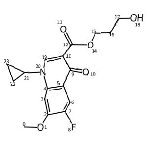 COc1cc2c(cc1F)c(=O)c(C(=O)OCCCO)cn2C1CC1